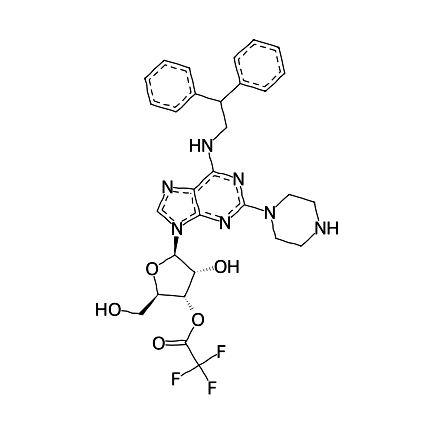 O=C(O[C@H]1[C@@H](O)[C@H](n2cnc3c(NCC(c4ccccc4)c4ccccc4)nc(N4CCNCC4)nc32)O[C@@H]1CO)C(F)(F)F